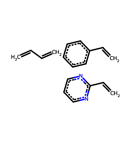 C=CC=C.C=Cc1ccccc1.C=Cc1ncccn1